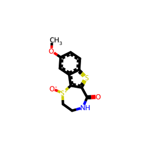 COc1ccc2sc3c(c2c1)[S+]([O-])CCNC3=O